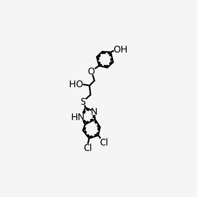 Oc1ccc(OCC(O)CSc2nc3cc(Cl)c(Cl)cc3[nH]2)cc1